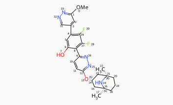 COc1cc(-c2cc(O)c(-c3ccc(O[C@H]4C[C@]5(C)CCC[C@](C)(C4)N5)nn3)c(F)c2F)cnn1